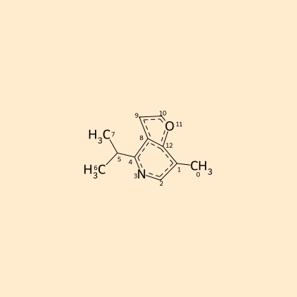 Cc1cnc(C(C)C)c2ccoc12